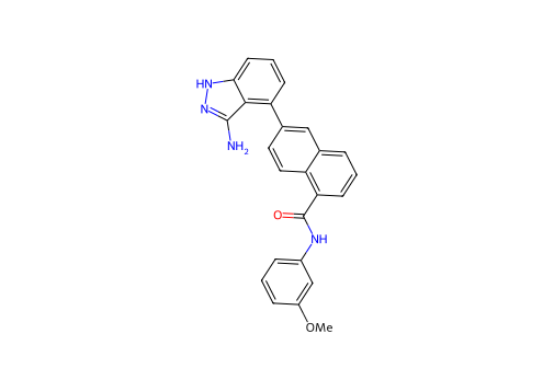 COc1cccc(NC(=O)c2cccc3cc(-c4cccc5[nH]nc(N)c45)ccc23)c1